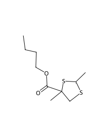 CCCCOC(=O)C1(C)CS[C](C)S1